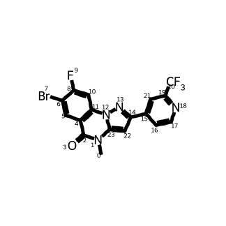 Cn1c(=O)c2cc(Br)c(F)cc2n2nc(-c3ccnc(C(F)(F)F)c3)cc12